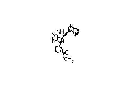 C=CC(=O)N1CCC[C@@H](n2nc(C#Cc3cnc4cccnn34)c3c(N)ncnc32)C1